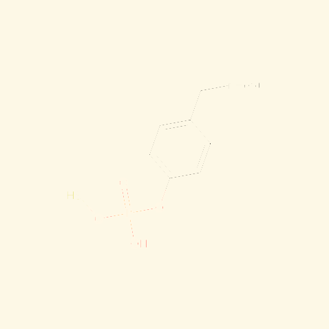 CCCCCCCCc1ccc(OP(=O)(O)OS)cc1